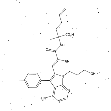 C=CCCC(C)(NC(=O)C(C#N)=Cc1c(-c2ccc(C)cc2)c2c(N)ncnc2n1CCCO)C(=O)O